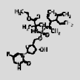 C=CC(C=C)C(C=C)C(=C)OP(=O)(NC(C)(C)C(=O)OCC)OCC1O[C@@H](N2C=C(F)CNC2=O)C[C@H]1O